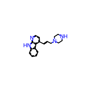 C(=C\c1ccnc2[nH]c3ccccc3c12)/CN1CCNCC1